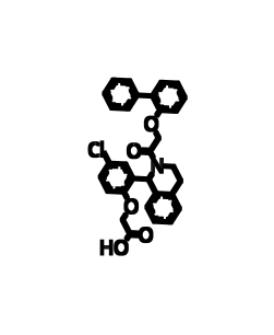 O=C(O)COc1ccc(Cl)cc1C1c2ccccc2CCN1C(=O)COc1ccccc1-c1ccccc1